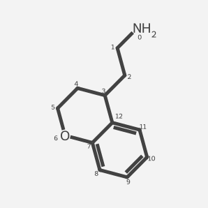 NCCC1CCOc2ccccc21